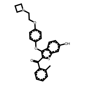 Cc1ccccc1C(=O)c1sc2cc(O)ccc2c1Oc1ccc(OCCN2CCC2)cc1